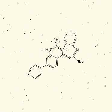 CC(C)=C1C(c2ccc(-c3ccccc3)cc2)=NC(C(C)(C)C)=Nc2ccccc21